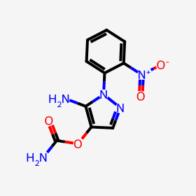 NC(=O)Oc1cnn(-c2ccccc2[N+](=O)[O-])c1N